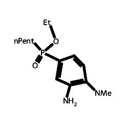 CCCCCP(=O)(OCC)c1ccc(NC)c(N)c1